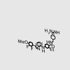 CCc1cc(Nc2nccn3c(-c4ccc(OC)c(F)c4F)cnc23)ccc1C(=O)NCC1CCN(C(=N)N)CC1